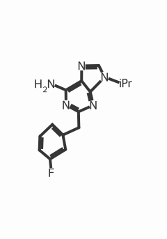 CC(C)n1cnc2c(N)nc(Cc3cccc(F)c3)nc21